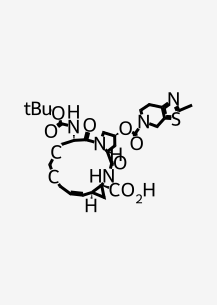 Cc1nc2c(s1)CN(C(=O)O[C@@H]1C[C@H]3C(=O)N[C@]4(C(=O)O)C[C@H]4/C=C\CCCCC[C@H](NC(=O)OC(C)(C)C)C(=O)N3C1)CC2